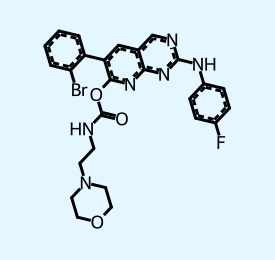 O=C(NCCN1CCOCC1)Oc1nc2nc(Nc3ccc(F)cc3)ncc2cc1-c1ccccc1Br